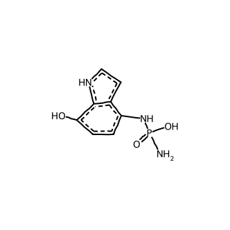 NP(=O)(O)Nc1ccc(O)c2[nH]ccc12